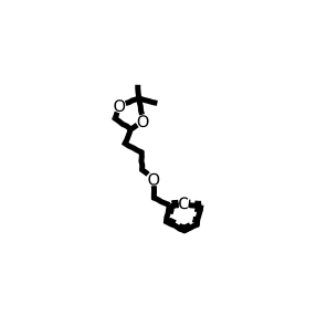 CC1(C)OCC(CCCOCc2ccccc2)O1